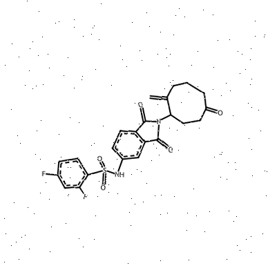 C=C1CCCC(=O)CCC1N1C(=O)c2ccc(NS(=O)(=O)c3ccc(F)cc3F)cc2C1=O